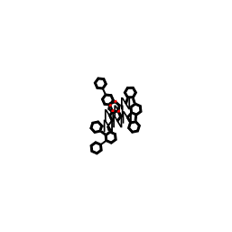 c1ccc(-c2ccc(-c3nc(-n4c5ccccc5c5c(-c6ccccc6)cccc54)nc(-n4c5ccccc5c5ccc6c7ccccc7n(-c7ccccc7)c6c54)n3)cc2)cc1